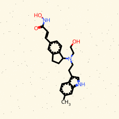 Cc1ccc2c(CCN(CCO)C3CCc4cc(/C=C/C(=O)NO)ccc43)c[nH]c2c1